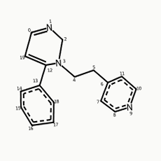 C1=NCN(CCc2ccncc2)C(c2ccccc2)=C1